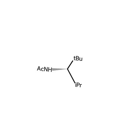 CC(=O)N[C@@H](C(C)C)C(C)(C)C